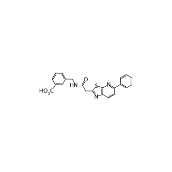 O=C(Cc1nc2ccc(-c3ccccc3)nc2s1)NCc1cccc(C(=O)O)c1